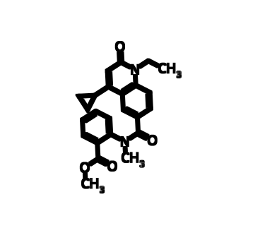 CCn1c(=O)cc(C2CC2)c2cc(C(=O)N(C)c3ccccc3C(=O)OC)ccc21